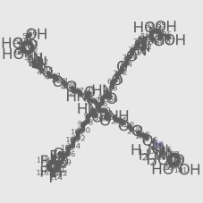 N/C(=C\N(N)C[C@H]1CO[C@H](CO)[C@H](O)[C@@H]1O)COCCOCCOCCNC(=O)CCC(CCC(=O)NCCOCCOCCOCc1cn(C[C@H]2CO[C@H](CO)[C@H](O)[C@@H]2O)nn1)(CCC(=O)NCCOCCOCCOCc1cn(C[C@H]2CO[C@H](CO)[C@H](O)[C@@H]2O)nn1)NC(=O)CCCCCCCCCCC(=O)Oc1c(F)c(F)c(F)c(F)c1F